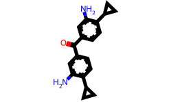 Nc1cc(C(=O)c2ccc(C3CC3)c(N)c2)ccc1C1CC1